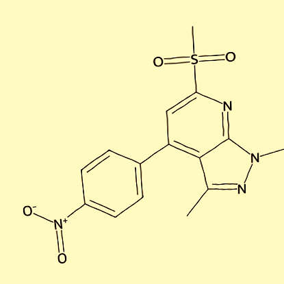 Cc1nn(C)c2nc(S(C)(=O)=O)cc(-c3ccc([N+](=O)[O-])cc3)c12